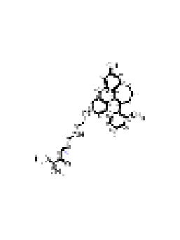 COc1cc(OCCNC/C=C/C(=O)N(C)C)ccc1C1=C(c2ccc(F)cc2C)CCCc2cc(O)ccc21